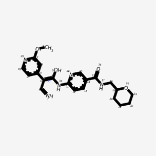 COc1cc(/C(C=N)=C(\O)Nc2ccc(C(=O)NCC3CCCCO3)cn2)ccn1